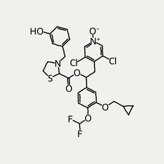 O=C(OC(Cc1c(Cl)c[n+]([O-])cc1Cl)c1ccc(OC(F)F)c(OCC2CC2)c1)C1SCCN1Cc1cccc(O)c1